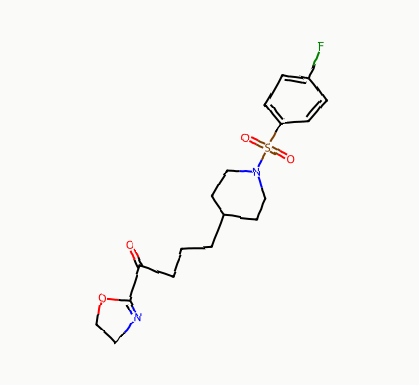 O=C(CCCC1CCN(S(=O)(=O)c2ccc(F)cc2)CC1)C1=NCCO1